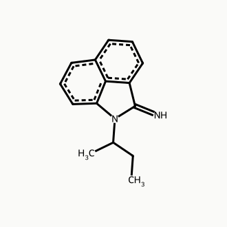 CCC(C)N1C(=N)c2cccc3cccc1c23